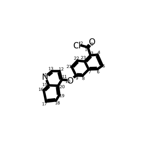 O=C(Cl)c1cccc2cc(Oc3ccnc4ccccc34)ccc12